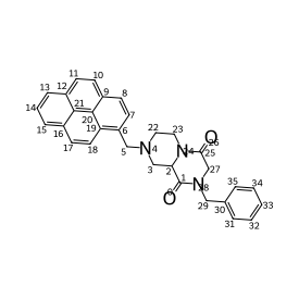 O=C1C2CN(Cc3ccc4ccc5cccc6ccc3c4c56)CCN2C(=O)CN1Cc1ccccc1